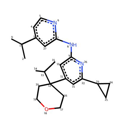 CC(C)c1ccnc(Nc2cc(C3(C(C)C)CCOCC3)cc(C3CC3)n2)c1